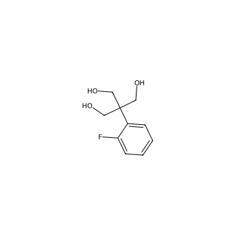 OCC(CO)(CO)c1ccccc1F